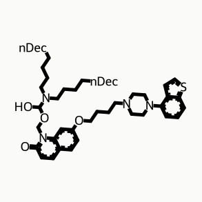 CCCCCCCCCCCCCCN(CCCCCCCCCCCCCC)C(O)OCn1c(=O)ccc2ccc(OCCCCN3CCN(c4cccc5sccc45)CC3)cc21